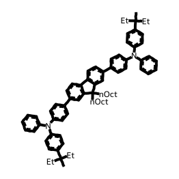 CCCCCCCCC1(CCCCCCCC)c2cc(-c3ccc(N(c4ccccc4)c4ccc(C(C)(CC)CC)cc4)cc3)ccc2-c2ccc(-c3ccc(N(c4ccccc4)c4ccc(C(C)(CC)CC)cc4)cc3)cc21